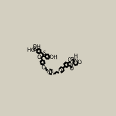 O=C1CCC(N2C(=O)c3ccc(C4CCN(CCCN5CCN(CCOc6ccc(C(=O)c7c(-c8ccc(B(O)O)cc8)sc8cc(O)ccc78)cc6)CC5)CC4)cc3C2=O)C(=O)N1